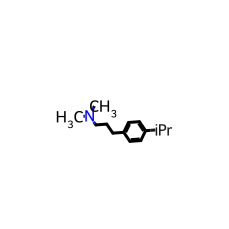 CC(C)c1ccc(CCCN(C)C)cc1